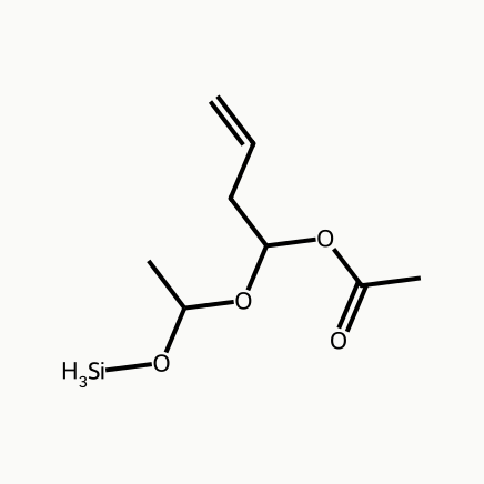 C=CCC(OC(C)=O)OC(C)O[SiH3]